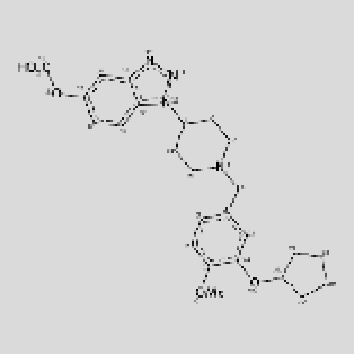 COc1ccc(CN2CCC(n3nnc4cc(OC(=O)O)ccc43)CC2)cc1OC1CCCC1